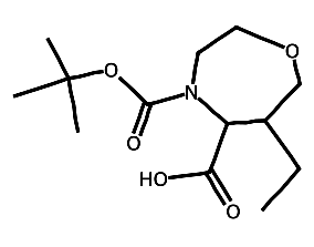 CCC1COCCN(C(=O)OC(C)(C)C)C1C(=O)O